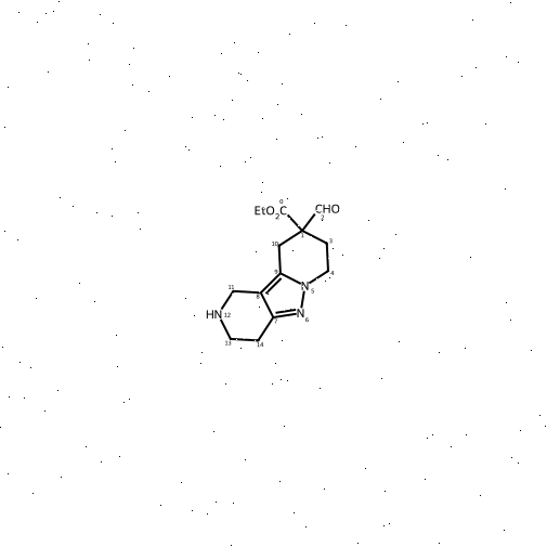 CCOC(=O)C1(C=O)CCn2nc3c(c2C1)CNCC3